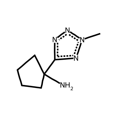 Cn1nnc(C2(N)CCCC2)n1